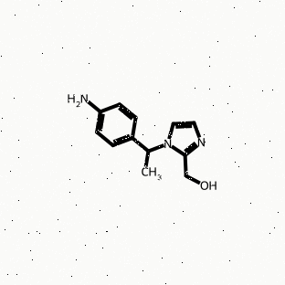 CC(c1ccc(N)cc1)n1ccnc1CO